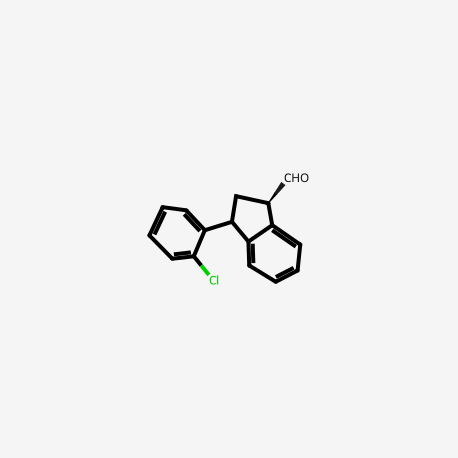 O=C[C@@H]1CC(c2ccccc2Cl)c2ccccc21